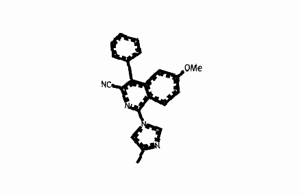 COc1ccc2c(-n3cnc(C)c3)nc(C#N)c(-c3ccccc3)c2c1